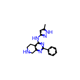 Cc1cc(Nc2nc(-c3ccccc3)nc3c2CCNC3)n[nH]1